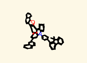 CC1(C)c2ccccc2-c2cccc(-c3ccc(N(c4cccc(-c5ccc6ccccc6c5)c4)c4ccccc4-c4cccc5c4oc4c6ccccc6ccc54)cc3)c21